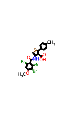 COc1cc(Br)c(C(=O)Nc2csc(-c3ccc(C)cc3)c2C(=O)O)c(Br)c1Br